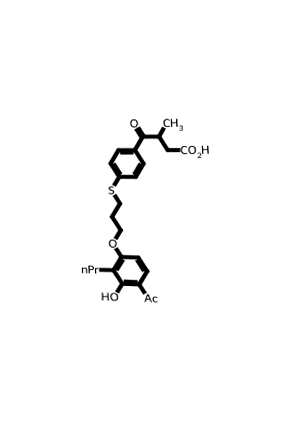 CCCc1c(OCCCSc2ccc(C(=O)C(C)CC(=O)O)cc2)ccc(C(C)=O)c1O